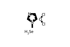 ClOCl.Cn1ccnc1.[SeH2]